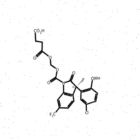 COc1ccc(Cl)cc1[C@]1(F)C(=O)N(C(=O)OCOC(=O)CCC(=O)O)c2cc(C(F)(F)F)ccc21